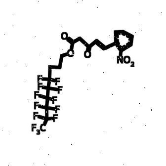 O=C(C=Cc1ccccc1[N+](=O)[O-])CC(=O)OCCCC(F)(F)C(F)(F)C(F)(F)C(F)(F)C(F)(F)C(F)(F)F